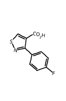 O=C(O)c1csnc1-c1ccc(F)cc1